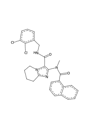 CN(C(=O)c1cccc2ccccc12)c1nc2n(c1C(=O)NCc1cccc(Cl)c1Cl)CCCC2